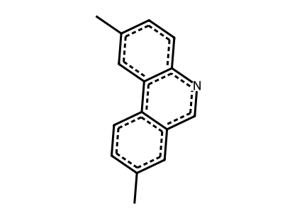 Cc1ccc2c(cnc3ccc(C)cc32)c1